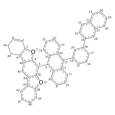 C1=Cc2oc3c(-c4c5ccccc5c(-c5cccc(-c6ccc7ccccc7c6)c5)c5ccccc45)c4oc5ccccc5c4cc3c2CC1